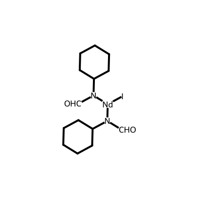 O=C[N](C1CCCCC1)[Nd]([I])[N](C=O)C1CCCCC1